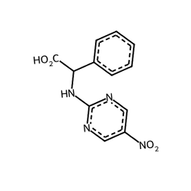 O=C(O)C(Nc1ncc([N+](=O)[O-])cn1)c1ccccc1